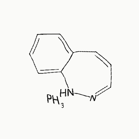 C1=Cc2ccccc2NN=C1.P